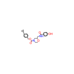 O=C(NCC1CN(C(=O)OCc2ccc(C3CC3)cc2)CCO1)c1ccc(O)cc1